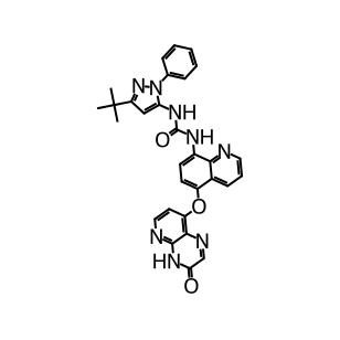 CC(C)(C)c1cc(NC(=O)Nc2ccc(Oc3ccnc4[nH]c(=O)cnc34)c3cccnc23)n(-c2ccccc2)n1